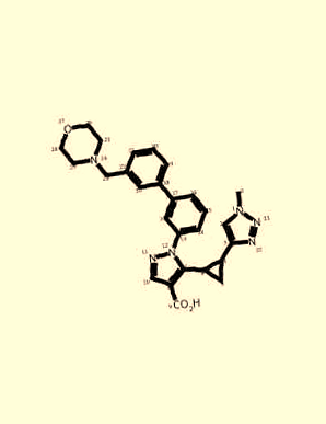 Cn1cc(C2CC2c2c(C(=O)O)cnn2-c2cccc(-c3cccc(CN4CCOCC4)c3)c2)nn1